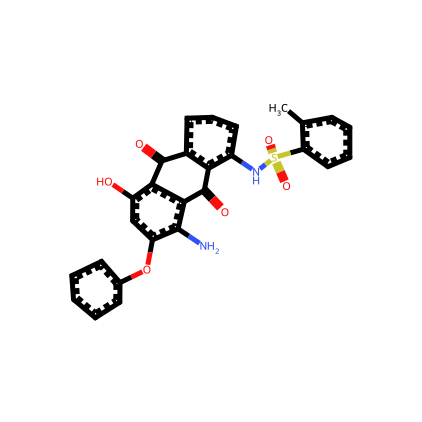 Cc1ccccc1S(=O)(=O)Nc1cccc2c1C(=O)c1c(N)c(Oc3ccccc3)cc(O)c1C2=O